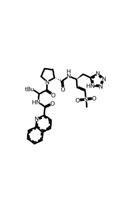 CC(C)(C)C(NC(=O)c1ccc2ccccc2n1)C(=O)N1CCC[C@@H]1C(=O)N[C@H](/C=C/S(C)(=O)=O)Cc1nnn[nH]1